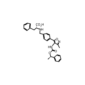 Cc1noc(-c2ccc(CN[C@H](Cc3ccccc3)C(=O)O)cc2)c1NC(=O)O[C@H](C)c1ccccc1